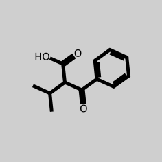 CC(C)C(C(=O)O)C(=O)c1ccccc1